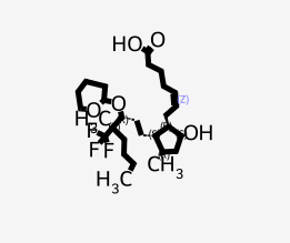 CCCC[C@](C)([C@@H](CC[C@@H]1[C@@H](C/C=C\CCCC(=O)O)[C@@H](O)C[C@H]1C)OC1CCCCO1)C(F)(F)F